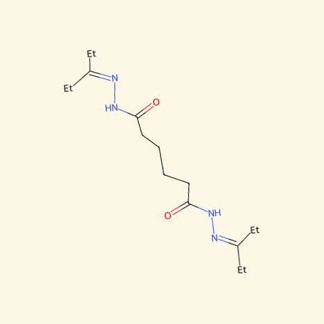 CCC(CC)=NNC(=O)CCCCC(=O)NN=C(CC)CC